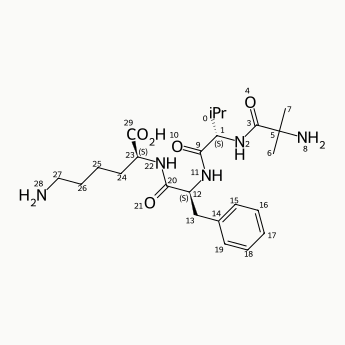 CC(C)[C@H](NC(=O)C(C)(C)N)C(=O)N[C@@H](Cc1ccccc1)C(=O)N[C@@H](CCCCN)C(=O)O